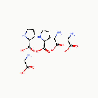 NCC(=O)O.NCC(=O)O.NCC(=O)O.O=C(O)[C@@H]1CCCN1.O=C(O)[C@@H]1CCCN1